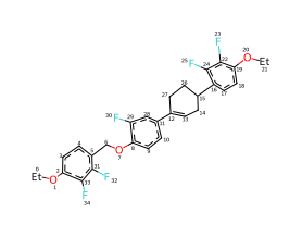 CCOc1ccc(COc2ccc(C3=CCC(c4ccc(OCC)c(F)c4F)CC3)cc2F)c(F)c1F